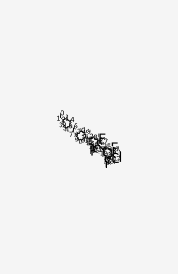 CC[C@H]1CC[C@H](CC[C@H]2CC[C@H](c3cc(F)c(-c4cc(F)c(Cl)c(F)c4)c(F)c3)CC2)CC1